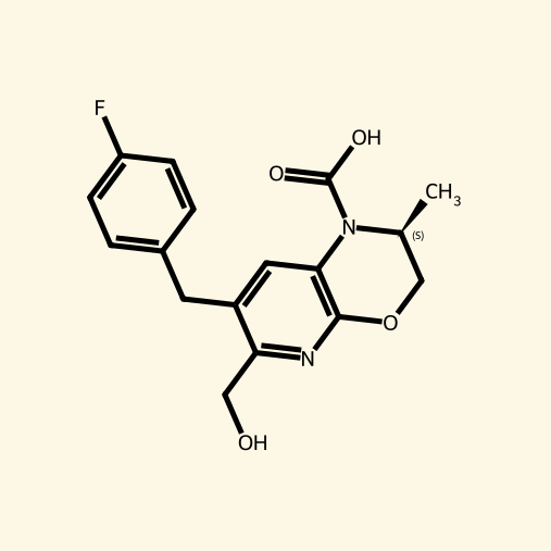 C[C@H]1COc2nc(CO)c(Cc3ccc(F)cc3)cc2N1C(=O)O